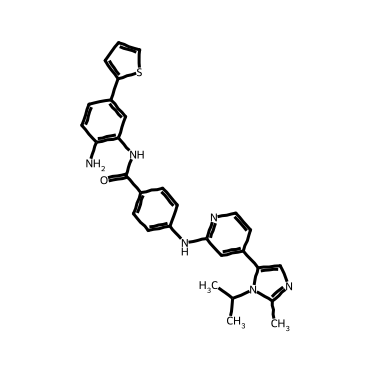 Cc1ncc(-c2ccnc(Nc3ccc(C(=O)Nc4cc(-c5cccs5)ccc4N)cc3)c2)n1C(C)C